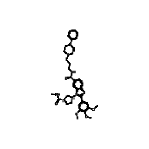 CNC(=O)[C@H]1CC[C@H](n2c(-c3cc(OC)c(OC)c(OC)c3)nc3ccc(C(=O)NCCCN4CCN(c5ccccc5)CC4)cc32)C1